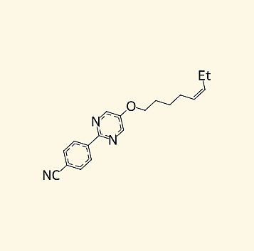 CC/C=C\CCCCOc1cnc(-c2ccc(C#N)cc2)nc1